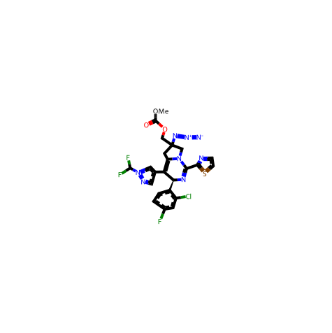 COC(=O)OCC1(N=[N+]=[N-])CC2=C(c3cnn(C(F)F)c3)[C@H](c3ccc(F)cc3Cl)N=C(c3nccs3)N2C1